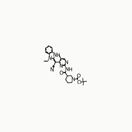 CCN1/C(=C(\C#N)c2nc(NC(=O)C3CCCN(C(=O)OC(C)(C)C)C3)ncc2C)Nc2ccccc21